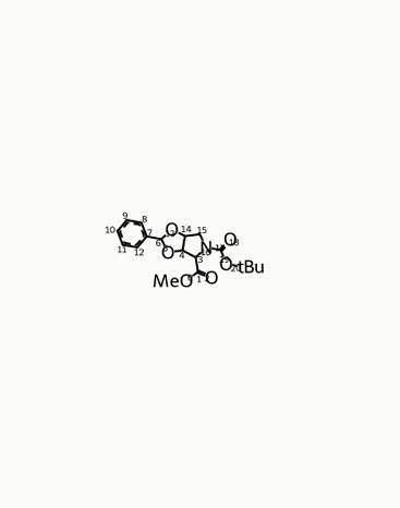 COC(=O)C1C2OC(c3ccccc3)OC2CN1C(=O)OC(C)(C)C